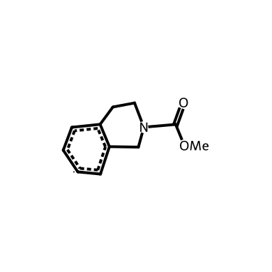 COC(=O)N1CCc2cc[c]cc2C1